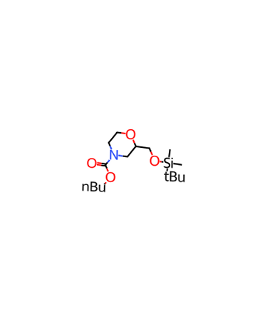 CCCCOC(=O)N1CCOC(CO[Si](C)(C)C(C)(C)C)C1